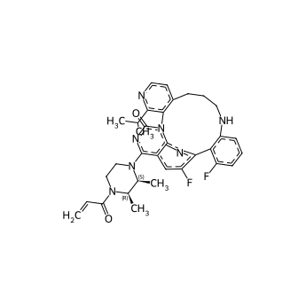 C=CC(=O)N1CCN(c2nc(=O)n3c4nc(c(F)cc24)-c2c(F)cccc2NCCCc2ccnc(C(C)C)c2-3)[C@@H](C)[C@H]1C